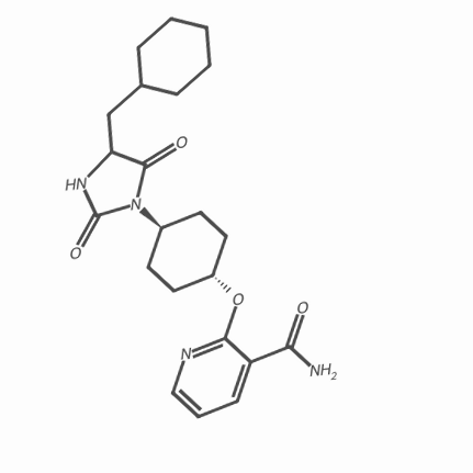 NC(=O)c1cccnc1O[C@H]1CC[C@H](N2C(=O)NC(CC3CCCCC3)C2=O)CC1